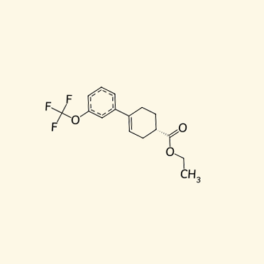 CCOC(=O)[C@@H]1CC=C(c2cccc(OC(F)(F)F)c2)CC1